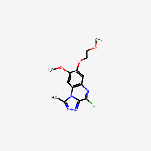 COCCOc1cc2nc(Cl)c3nnc(C)n3c2cc1OC